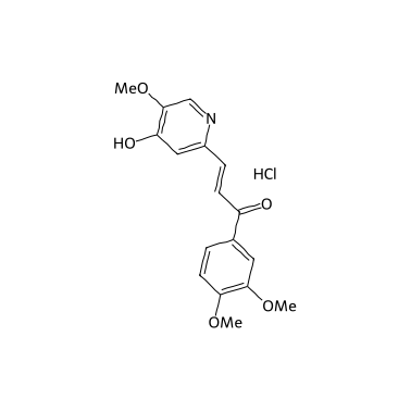 COc1cnc(C=CC(=O)c2ccc(OC)c(OC)c2)cc1O.Cl